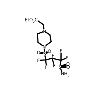 CCOC(=O)CN1CCN(S(=O)(=O)C(F)(F)C(F)(F)C(F)(F)S(N)(=O)=O)CC1